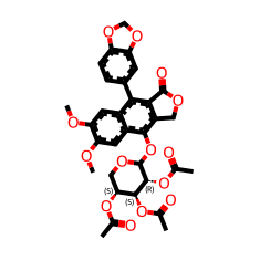 COc1cc2c(OC3OC[C@H](OC(C)=O)[C@H](OC(C)=O)[C@H]3OC(C)=O)c3c(c(-c4ccc5c(c4)OCO5)c2cc1OC)C(=O)OC3